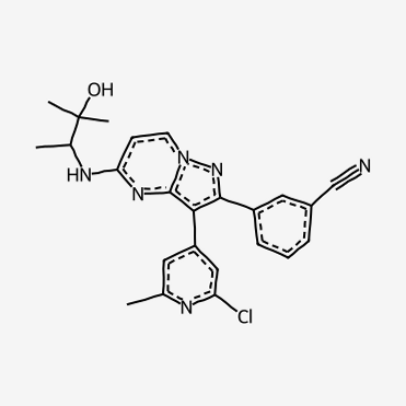 Cc1cc(-c2c(-c3cccc(C#N)c3)nn3ccc(NC(C)C(C)(C)O)nc23)cc(Cl)n1